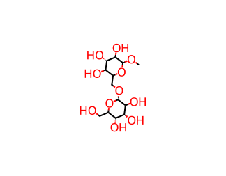 CO[C@H]1OC(CO[C@H]2OC(CO)[C@@H](O)[C@H](O)C2O)[C@@H](O)[C@H](O)C1O